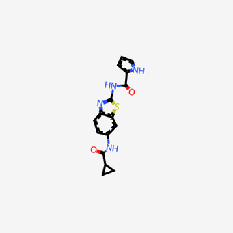 O=C(Nc1nc2ccc(NC(=O)C3CC3)cc2s1)c1ccc[nH]1